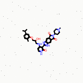 Cc1ccc(C(C)C)cc1OCC(O)CNc1cc[nH]c(=O)c1-c1nc2cc3c(cc2[nH]1)C(=O)N(C1CCN(C)CC1)C3=O